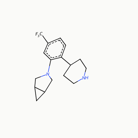 FC(F)(F)c1ccc(C2CCNCC2)c(N2CC3CC3C2)c1